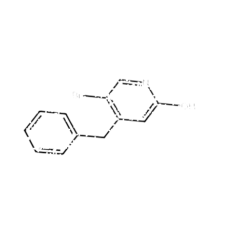 Oc1cc(Cc2ccccc2)c(Br)cn1